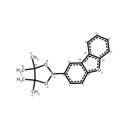 CC1(C)ON(c2ccc3oc4ccccc4c3c2)OC1(C)C